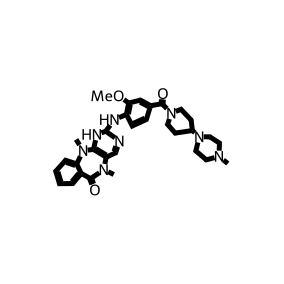 COc1cc(C(=O)N2CCC(N3CCN(C)CC3)CC2)ccc1NC1N=CC2=C(N1)N(C)c1ccccc1C(=O)N2C